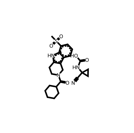 CS(=O)(=O)c1cccc2c3c([nH]c12)CCN(C(=O)C1CCCCC1)C3.N#CC1(NC(=O)O)CC1